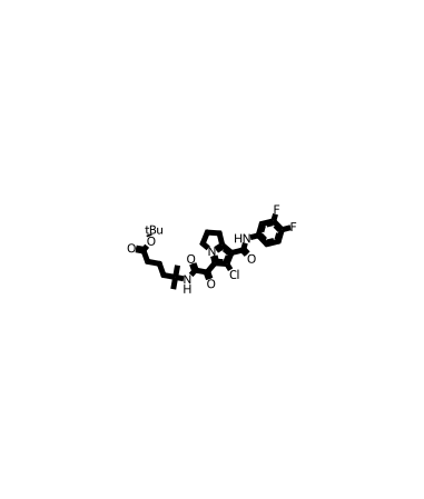 CC(C)(CCCC(=O)OC(C)(C)C)NC(=O)C(=O)c1c(Cl)c(C(=O)Nc2ccc(F)c(F)c2)c2n1CCC2